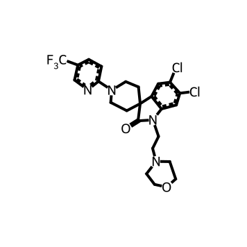 O=C1N(CCN2CCOCC2)c2cc(Cl)c(Cl)cc2C12CCN(c1ccc(C(F)(F)F)cn1)CC2